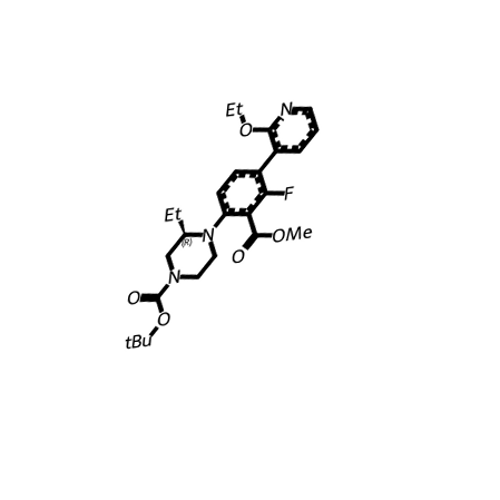 CCOc1ncccc1-c1ccc(N2CCN(C(=O)OC(C)(C)C)C[C@H]2CC)c(C(=O)OC)c1F